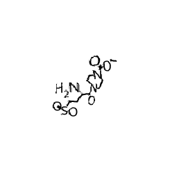 CCOC(=O)N1CCN(C(=O)[C@@H](N)CCS(C)(=O)=O)CC1